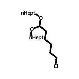 CCCCCCCOC(CCCCCCl)OCCCCCCC